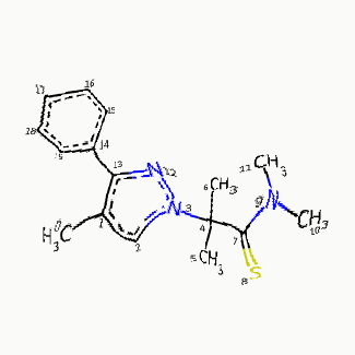 Cc1cn(C(C)(C)C(=S)N(C)C)nc1-c1ccccc1